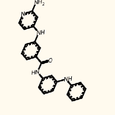 Nc1cc(Nc2cccc(C(=O)Nc3cccc(Nc4ccccc4)c3)c2)ccn1